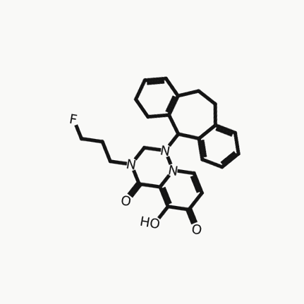 O=C1c2c(O)c(=O)ccn2N(C2C3=C(C=CCC3)CCc3ccccc32)CN1CCCF